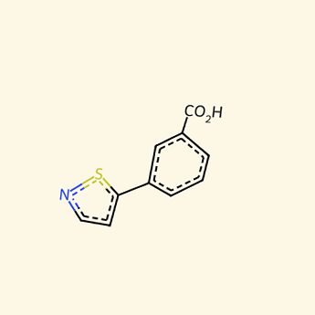 O=C(O)c1cccc(-c2ccns2)c1